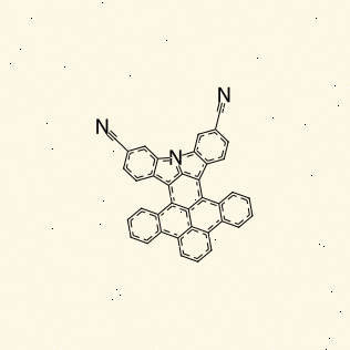 N#Cc1ccc2c3c4c5ccccc5c5cccc6c7ccccc7c(c4c56)c4c5ccc(C#N)cc5n(c2c1)c34